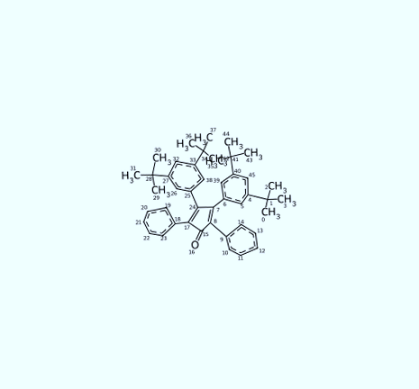 CC(C)(C)c1cc(C2=C(c3ccccc3)C(=O)C(c3ccccc3)=C2c2cc(C(C)(C)C)cc(C(C)(C)C)c2)cc(C(C)(C)C)c1